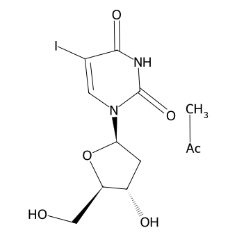 CC(C)=O.O=c1[nH]c(=O)n([C@H]2C[C@H](O)[C@@H](CO)O2)cc1I